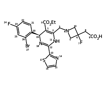 CCOC(=O)C1=C(CN2CC(F)(CC(=O)O)C2)NC(c2nccs2)=N[C@H]1c1ccc(F)cc1Br